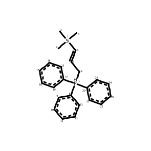 C[Si](C)(C)C=CC[PH](c1ccccc1)(c1ccccc1)c1ccccc1